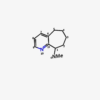 CNC1CCCCc2cccnc21